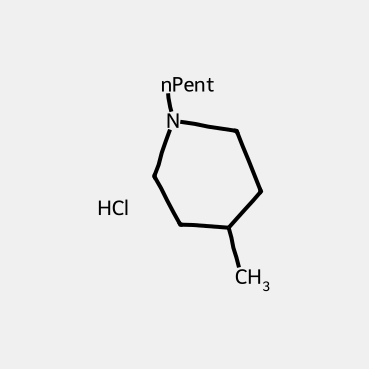 CCCCCN1CCC(C)CC1.Cl